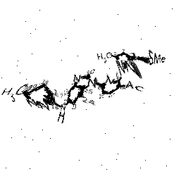 CSc1cc(C)n(-c2nc(-n3cnc4cc(Nc5ccc(C)nn5)ccc43)ccc2C(C)=O)n1